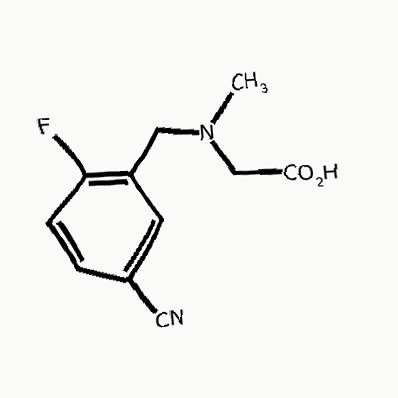 CN(CC(=O)O)Cc1cc(C#N)ccc1F